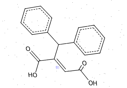 O=C(O)/C=C(/C(=O)O)C(c1ccccc1)c1ccccc1